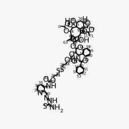 CC(=O)O[C@H]1C(=O)[C@@]2(C)[C@H]([C@H](C)[C@]3(O)C[C@H](OC(=O)[C@H](OC(=O)OCCSSCCOC(=O)Nc4cccnc4/C=N/NC(N)=S)[C@@H](NC(=O)c4ccccc4)c4ccccc4)C(C)=C1C3(C)C)[C@]1(OC(C)=O)CO[C@@H]1C[C@@H]2O